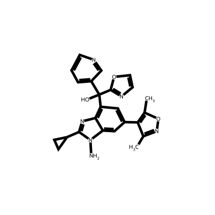 Cc1noc(C)c1-c1cc(C(O)(c2cccnc2)c2ncco2)c2nc(C3CC3)n(N)c2c1